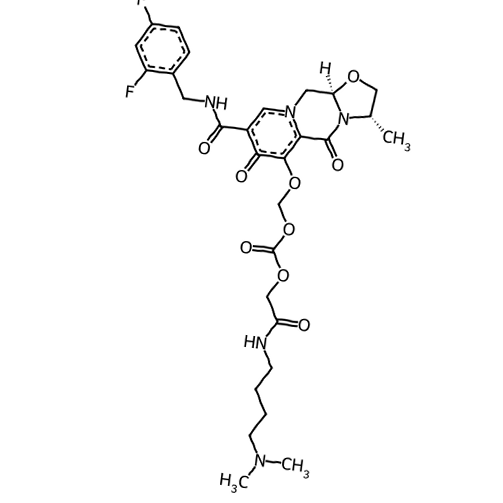 C[C@H]1CO[C@@H]2Cn3cc(C(=O)NCc4ccc(F)cc4F)c(=O)c(OCOC(=O)OCC(=O)NCCCCN(C)C)c3C(=O)N12